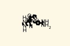 CC1NCCNC1c1nn(C(=O)c2ccsc2)c(NCc2ccc(C(=N)N)cc2)c1C#N